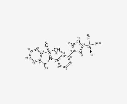 CS(=O)(=Nc1cccc(-c2noc(C(F)(F)F)n2)c1)c1ccccc1F